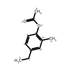 CCc1ccc(OC(C)=O)c(C)c1